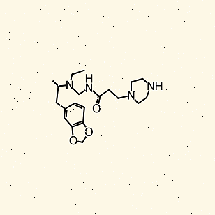 CCN(CNC(=O)CCN1CCNCC1)C(C)Cc1ccc2c(c1)OCO2